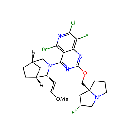 COC=C[C@H]1[C@@H]2CC[C@@H](C2)CN1c1nc(OC[C@@]23CCCN2C[C@H](F)C3)nc2c(F)c(Cl)nc(Br)c12